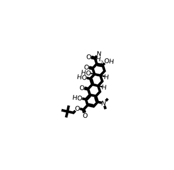 CN(C)c1cc(C(=O)OCC(C)(C)C)c(O)c2c1C[C@H]1C[C@H]3CC(O)=C(C(N)=O)C(=O)[C@@]3(O)C(O)=C1C2=O